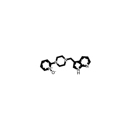 [O-][n+]1ccccc1N1CCN(Cc2c[nH]c3ncccc23)CC1